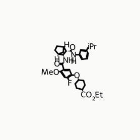 CCOC(=O)[C@H]1CC[C@@H](Oc2cc(C(=O)N[C@@H]3[C@H]4CC[C@H](C4)[C@@H]3C(=O)Nc3cccc(C(C)C)c3)c(OC)cc2F)CC1